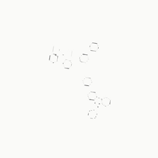 CC1(C)c2ccccc2-c2ccc([C@H](CCc3ccc(-c4ccc5c(c4)c4ccccc4n5-c4ccccc4)cc3)c3ccc(-c4ccccc4)cc3)cc21